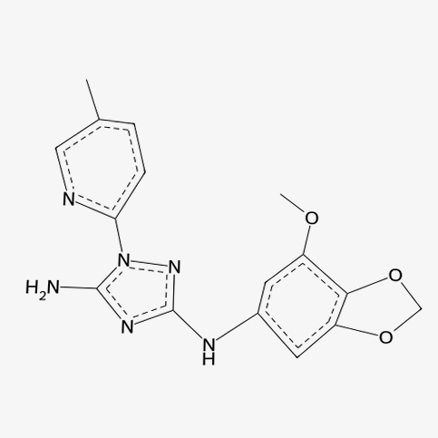 COc1cc(Nc2nc(N)n(-c3ccc(C)cn3)n2)cc2c1OCO2